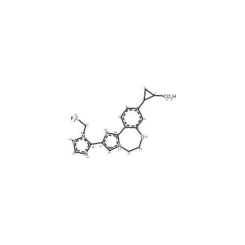 O=C(O)C1CC1c1ccc2c(c1)OCCn1cc(-c3ncnn3CC(F)(F)F)nc1-2